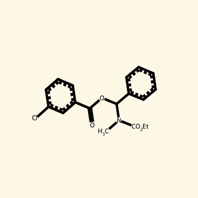 CCOC(=O)N(C)C(OC(=O)c1cccc(Cl)c1)c1ccccc1